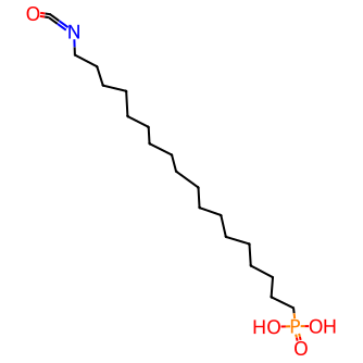 O=C=NCCCCCCCCCCCCCCCCCCP(=O)(O)O